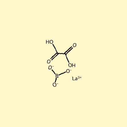 O=C(O)C(=O)O.[La+3].[O-]B([O-])[O-]